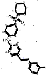 Cc1cccc(/C=C/c2cnc(Nc3ccc(S(=O)(=O)C4CCCCC4)cc3)nc2)c1